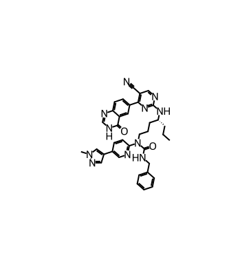 CCC[C@H](CCCN(C(=O)NCc1ccccc1)c1ccc(-c2cnn(C)c2)cn1)Nc1ncc(C#N)c(-c2ccc3nc[nH]c(=O)c3c2)n1